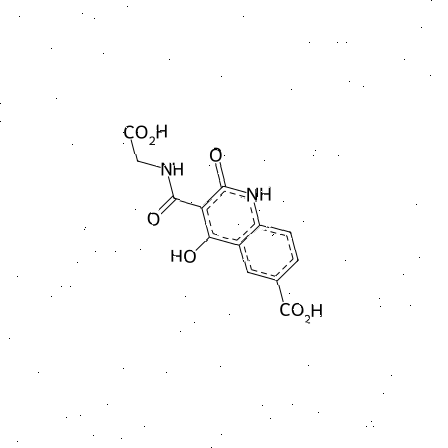 O=C(O)CNC(=O)c1c(O)c2cc(C(=O)O)ccc2[nH]c1=O